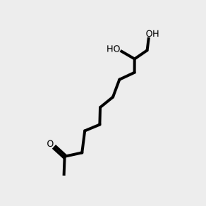 CC(=O)CCCCCCCC(O)CO